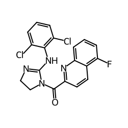 O=C(c1ccc2c(F)cccc2n1)N1CCN=C1Nc1c(Cl)cccc1Cl